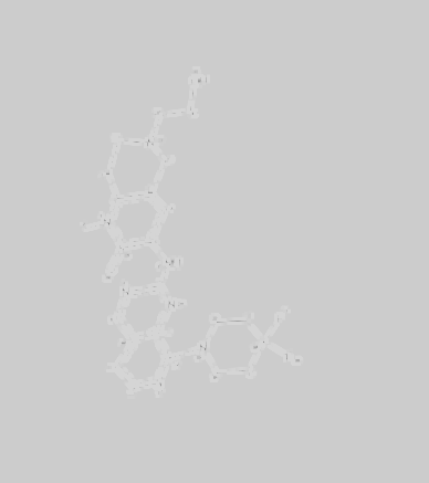 Cn1c2c(cc(Nc3ncc4ccnc(N5CCC(F)(F)CC5)c4n3)c1=O)CN(CCO)CC2